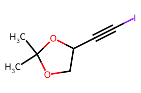 CC1(C)OCC(C#CI)O1